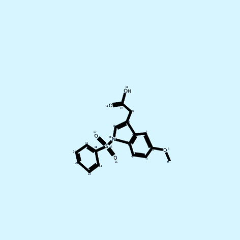 COc1ccc2c(c1)c(CC(=O)O)cn2S(=O)(=O)c1ccccc1